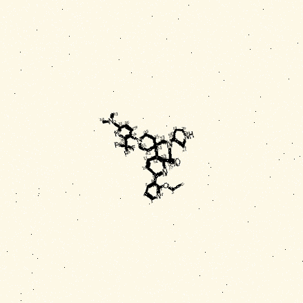 CCOc1ncccc1-c1ccc2c(n1)C(=O)N(C1CCNC1)CC21CCN(c2ccc(N(C)C)nc2C(F)(F)F)CC1